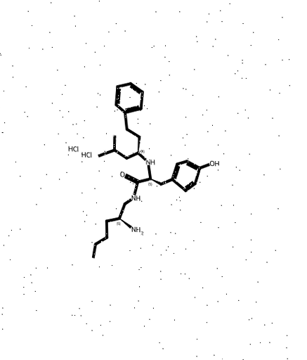 CCCC[C@H](N)CNC(=O)[C@H](Cc1ccc(O)cc1)N[C@H](CCc1ccccc1)CC(C)C.Cl.Cl